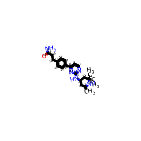 C=C1CC(Nc2nccc(-c3ccc(CCC(N)=O)cc3)n2)CC(C)(C)N1